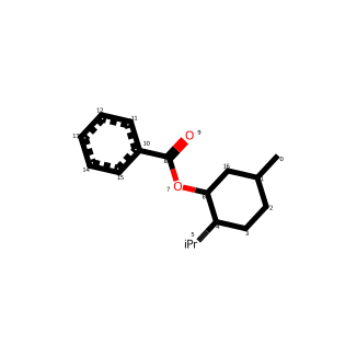 CC1CCC(C(C)C)C(OC(=O)c2cc[c]cc2)C1